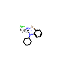 CN.CN(c1ccccc1Br)C1CCCCC1.Cl